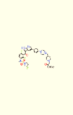 COC(=O)CN1CCC(CN2CCN(c3ccc(-c4cnc5[nH]cc(C(=O)c6c(F)ccc(N(C)S(=O)(=O)N7CC[C@@H](F)C7)c6F)c5c4)cc3)CC2)CC1